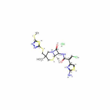 CCSc1nnc(SCC2(C(=O)O)CS[C@@H]3C(NC(=O)C(=CCl)c4csc(N)n4)C(=O)N3C2)s1.Cl